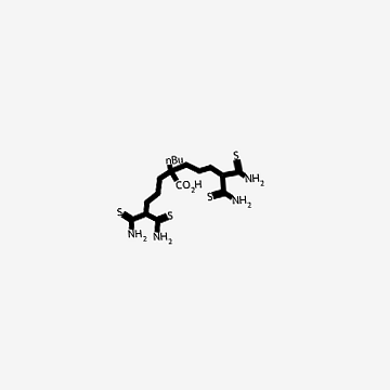 CCCCC(CCCC(C(N)=S)C(N)=S)(CCCC(C(N)=S)C(N)=S)C(=O)O